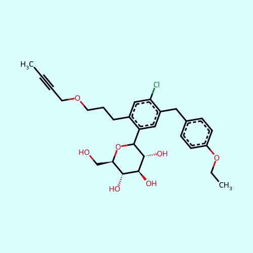 CC#CCOCCCc1cc(Cl)c(Cc2ccc(OCC)cc2)cc1C1O[C@H](CO)[C@@H](O)[C@H](O)[C@H]1O